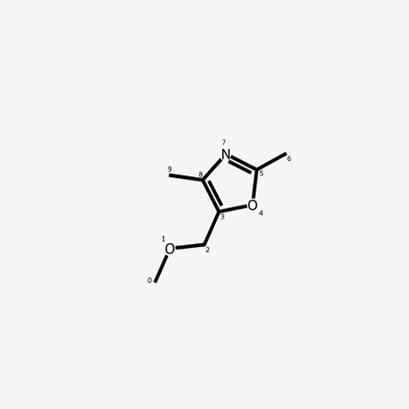 COCc1oc(C)nc1C